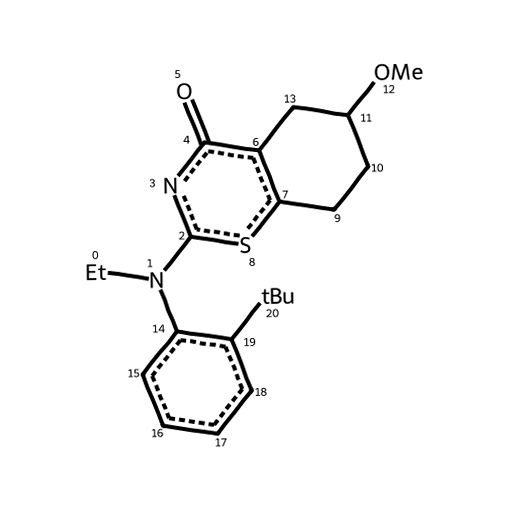 CCN(c1nc(=O)c2c(s1)CCC(OC)C2)c1ccccc1C(C)(C)C